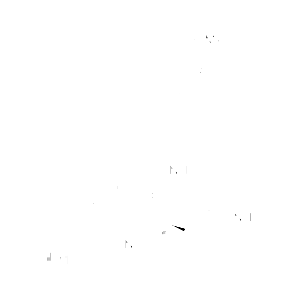 CCCCCCCC(=O)N[C@H](CC(N)=O)C(=O)NCCCC(=O)OC